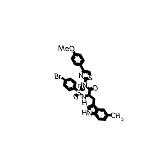 COc1ccc(-c2csc(NC(=O)C(Cc3c[nH]c4ccc(C)cc34)NS(=O)(=O)c3ccc(Br)cc3)n2)cc1